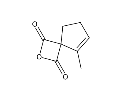 CC1=CCCC12C(=O)OC2=O